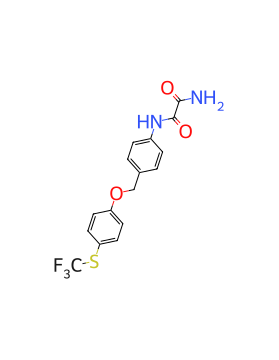 NC(=O)C(=O)Nc1ccc(COc2ccc(SC(F)(F)F)cc2)cc1